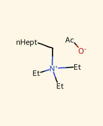 CC(=O)[O-].CCCCCCCC[N+](CC)(CC)CC